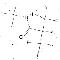 CC(C)(C)OC(=O)C(C)(C(C)(F)F)C(F)(F)F